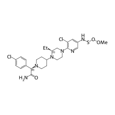 CC[C@H]1CN(c2ncc(NSOOC)cc2Cl)CCN1C1CCN([C@@H](C(N)=O)c2ccc(Cl)cc2)CC1